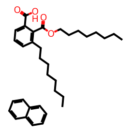 CCCCCCCCOC(=O)c1c(CCCCCCCC)cccc1C(=O)O.c1ccc2ccccc2c1